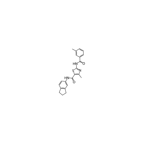 Cc1cccc(C(=O)Nc2nc(C)c(C(=O)Nc3ccc4c(c3)CCC4)s2)c1